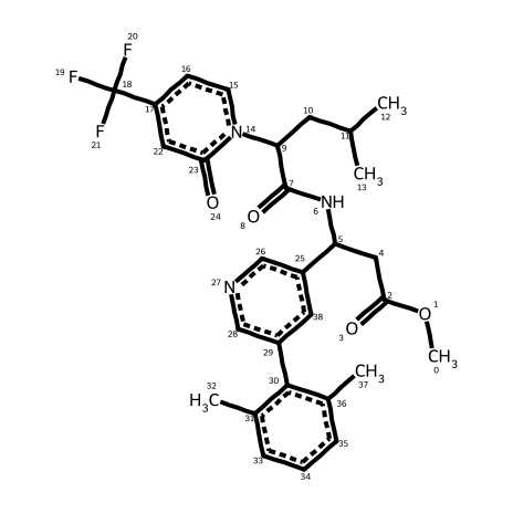 COC(=O)CC(NC(=O)C(CC(C)C)n1ccc(C(F)(F)F)cc1=O)c1cncc(-c2c(C)cccc2C)c1